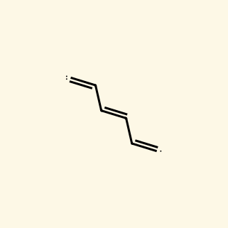 [C]=CC=CC=[CH]